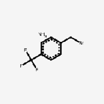 FC(F)(F)c1ccc(CBr)cc1.N